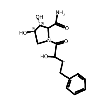 NC(=O)C1[C@@H](O)[C@H](O)CN1C(=O)C(O)[CH]Cc1ccccc1